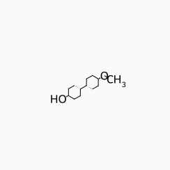 CO[C@H]1CC[C@H]([C@H]2CC[C@H](O)CC2)CC1